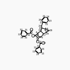 O=C(OC1C2CC(C1OC(=O)c1ccccc1)C1C2C(Cc2ccccc2)N2CC12)c1ccccc1